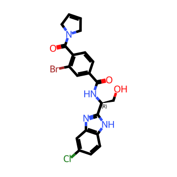 O=C(N[C@@H](CO)c1nc2cc(Cl)ccc2[nH]1)c1ccc(C(=O)N2CC=CC2)c(Br)c1